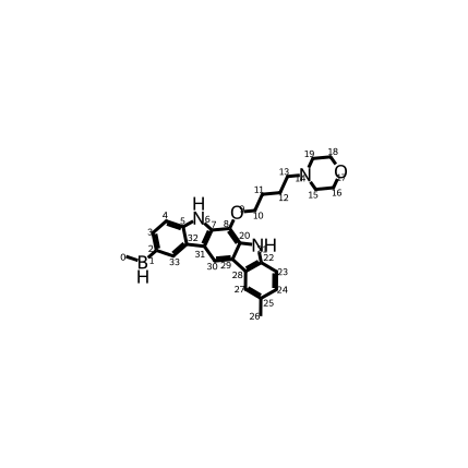 CBc1ccc2[nH]c3c(OCCCCN4CCOCC4)c4[nH]c5ccc(C)cc5c4cc3c2c1